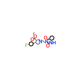 CCOC(=O)[C@H]1CN(CCn2c(=O)[nH]c3ccccc3c2=O)CC[C@H]1c1ccc(F)cc1